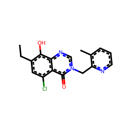 CCc1cc(Cl)c2c(=O)n(Cc3ncccc3C)cnc2c1O